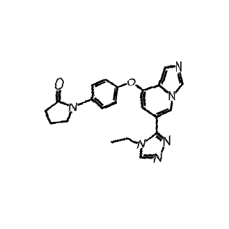 CCn1cnnc1-c1cc(Oc2ccc(N3CCCC3=O)cc2)c2cncn2c1